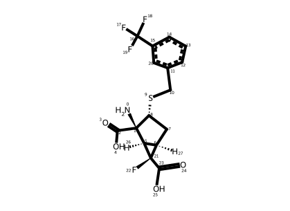 N[C@]1(C(=O)O)[C@H]2[C@@H](C[C@H]1SCc1cccc(C(F)(F)F)c1)[C@]2(F)C(=O)O